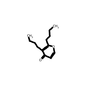 CCCCc1occc(=O)c1CCCC